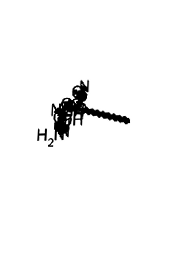 CCCCCCCCCCCCCCCCCCOC[C@H](COP(=O)(O)OC1[C@@]2(C#N)O[C@@H](c3ccc4c(N)ncnn34)[C@H](O)[C@@]12O)OCc1ccc(C#N)c(OC)c1